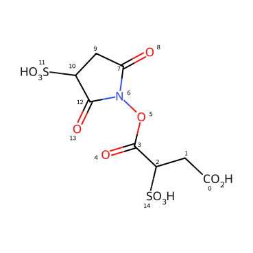 O=C(O)CC(C(=O)ON1C(=O)CC(S(=O)(=O)O)C1=O)S(=O)(=O)O